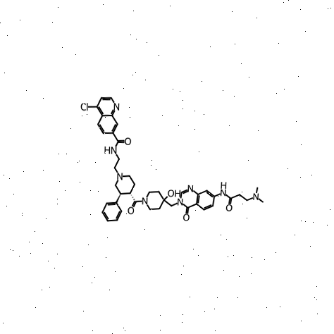 CN(C)CCC(=O)Nc1ccc2c(=O)n(CC3(O)CCN(C(=O)[C@H]4CCN(CCNC(=O)c5ccc6c(Cl)ccnc6c5)C[C@@H]4c4ccccc4)CC3)cnc2c1